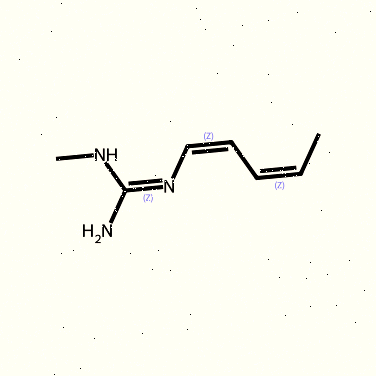 C\C=C/C=C\N=C(\N)NC